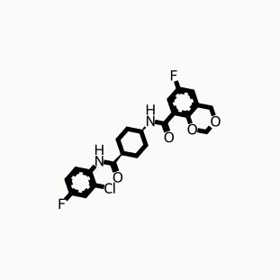 O=C(N[C@H]1CC[C@H](C(=O)Nc2ccc(F)cc2Cl)CC1)c1cc(F)cc2c1OCOC2